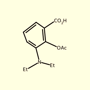 CCN(CC)c1cccc(C(=O)O)c1OC(C)=O